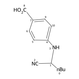 CCCCC(C#N)Nc1ccc(C(=O)O)cc1